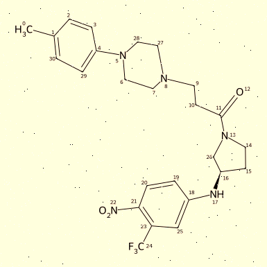 Cc1ccc(N2CCN(CCC(=O)N3CC[C@@H](Nc4ccc([N+](=O)[O-])c(C(F)(F)F)c4)C3)CC2)cc1